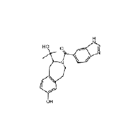 CC(C)(O)C1Cc2ccc(O)cc2CCN1C(=O)c1ccc2nc[nH]c2c1